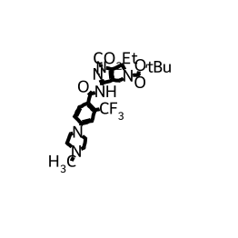 CCOC(=O)n1nc(NC(=O)c2ccc(N3CCN(C)CC3)cc2C(F)(F)F)c2c1CN(C(=O)OC(C)(C)C)C2